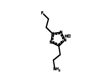 Cl.NCCc1nnn(CCF)n1